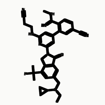 CCN(Cc1cc2c(c(C(C)(C)F)c1)CN(c1cc(-c3cc(C#N)ccc3C(=N)NC)cc(NCCC#N)n1)C2=O)C1CC1